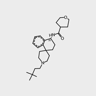 CC(C)(C)CCN1CCC2(CC[C@@H](NC(=O)C3CCOCC3)c3ccccc32)CC1